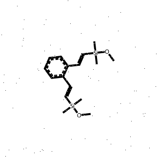 CO[Si](C)(C)C=Cc1ccccc1C=C[Si](C)(C)OC